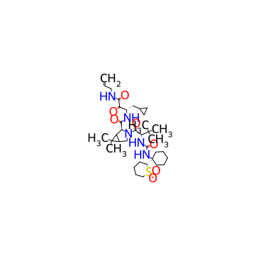 C=CCNC(=O)C(=O)[C@H](CC1CC1)NC(=O)[C@@H]1C2C(CN1C(=O)[C@@H](NC(=O)NC1([C@H]3CCCCS3(=O)=O)CCCCC1)C(C)(C)C)C2(C)C